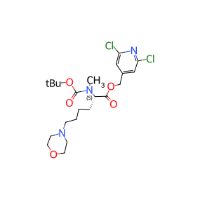 CN(C(=O)OC(C)(C)C)[C@@H](CCCCN1CCOCC1)C(=O)OCc1cc(Cl)nc(Cl)c1